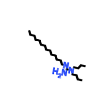 CCCCCCCCCCCCCC/N=C(\N)N(CCCC)CCCC